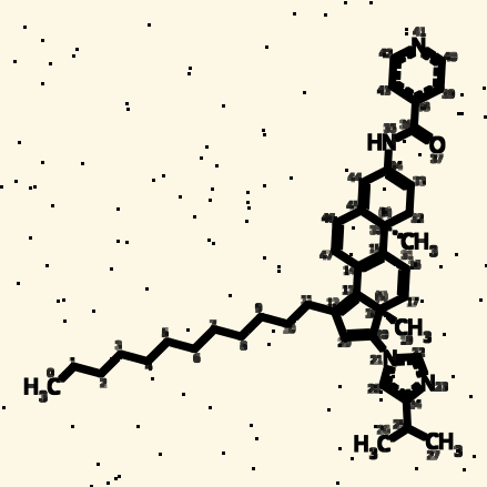 CCCCCCCCCCCCC1=C2C3=C(C=C[C@]2(C)C(n2cnc(C(C)C)c2)=C1)[C@]1(C)CC=C(NC(=O)c2ccncc2)C=C1C=C3